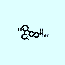 CCCNc1ccc2ccc(C3=C(c4cccc(C)n4)NC=CC=C3)cc2c1